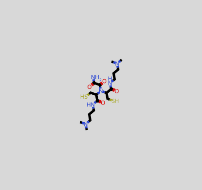 CN(C)CCCNC(=O)C(CS)N(C(=O)C(N)=O)C(CS)C(=O)NCCCN(C)C